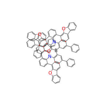 c1ccc(-c2ccc3c(c2)B2c4cc(-c5ccccc5)ccc4N(c4c(-c5cccc6c5oc5ccccc56)cccc4-c4cccc5c4oc4ccccc45)c4cc(C5(c6ccccc6)c6ccccc6-c6ccccc65)cc(c42)N3c2c(-c3cccc4c3oc3ccccc34)cccc2-c2cccc3c2oc2ccccc23)cc1